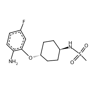 CS(=O)(=O)N[C@H]1CC[C@H](Oc2cc(F)ccc2N)CC1